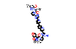 COC(=O)N[C@H](C(=O)N1CCC[C@H]1c1ncc(-c2ccc(-c3ccc4cc(-c5c[nH]c([C@@H]6CCCN6C(=O)[C@@H](NC(=O)OC)C6CCOCC6)n5)cnc4c3)cn2)[nH]1)C(C)C